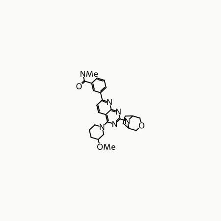 CNC(=O)c1cccc(-c2ccc3c(N4CCCC(OC)C4)nc(N4C5CCC4COC5)nc3n2)c1